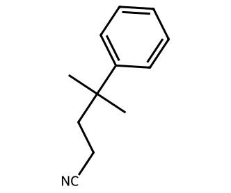 CC(C)(CCC#N)c1ccccc1